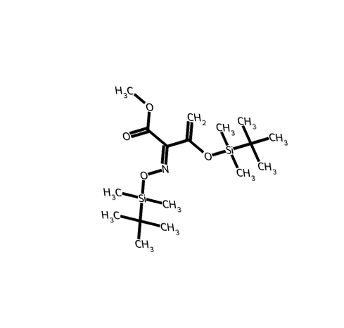 C=C(O[Si](C)(C)C(C)(C)C)/C(=N/O[Si](C)(C)C(C)(C)C)C(=O)OC